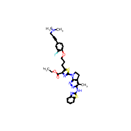 CCOC(=O)c1nc(N2CCc3c2nnc(Nc2nc4ccccc4s2)c3C)sc1CCCOc1ccc(C#CCN(C)C)cc1F